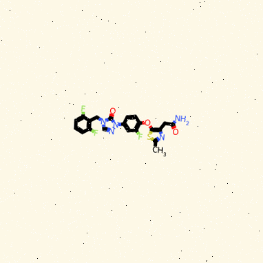 Cc1nc(CC(N)=O)c(Oc2ccc(-n3ncn(Cc4c(F)cccc4F)c3=O)cc2F)s1